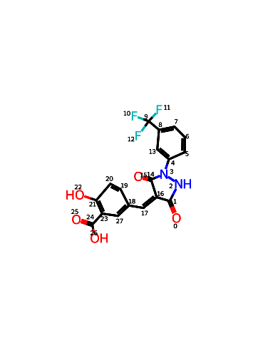 O=C1NN(c2cccc(C(F)(F)F)c2)C(=O)C1=Cc1ccc(O)c(C(=O)O)c1